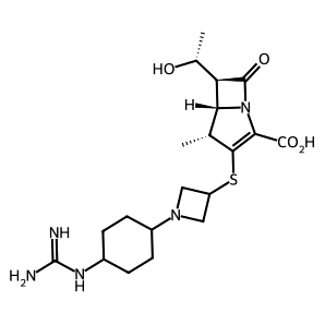 C[C@@H](O)[C@H]1C(=O)N2C(C(=O)O)=C(SC3CN(C4CCC(NC(=N)N)CC4)C3)[C@H](C)[C@H]12